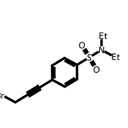 CCN(CC)S(=O)(=O)c1ccc(C#CCBr)cc1